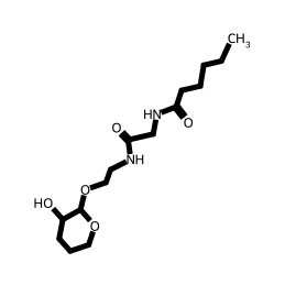 CCCCCC(=O)NCC(=O)NCCOC1OCCCC1O